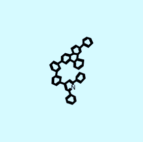 C1=CC2c3ccc(-c4cccc(-c5cccc(-c6cc(-c7ccccc7)nc(-c7ccccc7)c6)c5)c4)cc3-c3ccccc3C2C=C1c1ccccc1